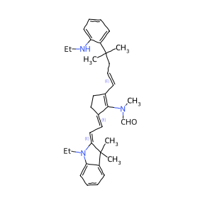 CCNc1ccccc1C(C)(C)C/C=C/C1=C(N(C)C=O)C(=C/C=C2/N(CC)c3ccccc3C2(C)C)/CC1